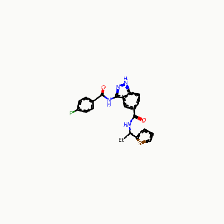 CCC(NC(=O)c1ccc2[nH]nc(NC(=O)c3ccc(F)cc3)c2c1)c1cccs1